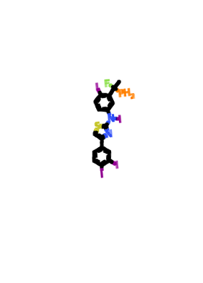 CC(F)(P)c1cc(N(I)c2nc(-c3ccc(I)c(I)c3)cs2)ccc1I